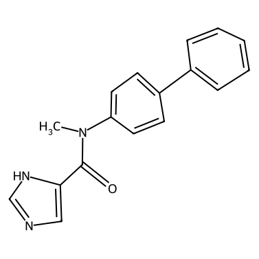 CN(C(=O)c1cnc[nH]1)c1ccc(-c2ccccc2)cc1